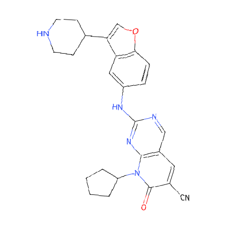 N#Cc1cc2cnc(Nc3ccc4occ(C5CCNCC5)c4c3)nc2n(C2CCCC2)c1=O